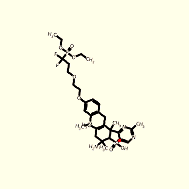 CCOP(=O)(OCC)C(F)(F)CCOCCOc1ccc(CC2=C(C)CC(C)(N)C(S(=O)(=O)O)C2(C)c2ccnc(C)n2)c(OC)c1